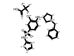 O=C(O)C(F)(F)F.O=S(=O)(Nc1ncns1)c1ccc(N[C@@H]2CCN(Cc3ccccc3)C2)c(Cl)c1